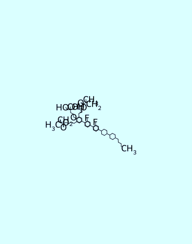 C=C(C)C(=O)OCCCc1cc(-c2ccc(-c3ccc(C4CCC(C5CCC(CCCCC)CC5)CC4)cc3F)cc2F)cc(CCCOC(=O)C(=C)C)c1OCCC(C)(CO)CO